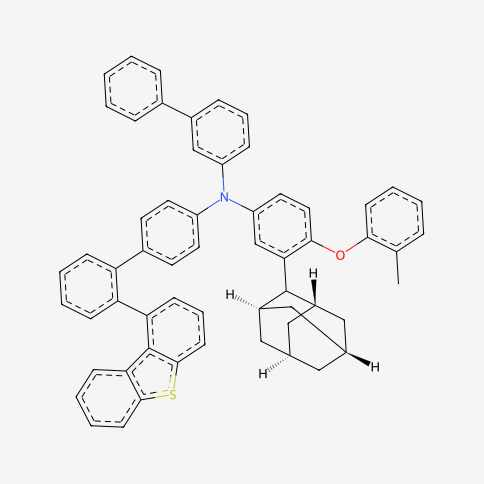 Cc1ccccc1Oc1ccc(N(c2ccc(-c3ccccc3-c3cccc4sc5ccccc5c34)cc2)c2cccc(-c3ccccc3)c2)cc1C1[C@H]2C[C@H]3C[C@H](C[C@H]1C3)C2